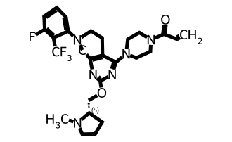 C=CC(=O)N1CCN(c2nc(OC[C@@H]3CCCN3C)nc3c2CCN(c2cccc(F)c2C(F)(F)F)C3)CC1